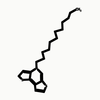 CCCCCCCCCCCCN1C=c2sccc2=C2SCC=C21